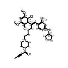 CC#CC(=O)N1CCN(CCCC/C(=C\c2cnc(N[C@H]3CCOC3)nc2N)c2c(Cl)c(OC)cc(OC)c2Cl)CC1